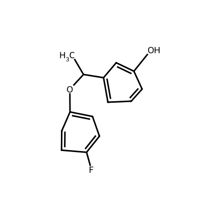 CC(Oc1ccc(F)cc1)c1cccc(O)c1